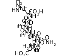 CC(C)C[C@H](NC(=O)[C@@H](N)CCC(=O)O)C(=O)N[C@@H](CCC(N)=O)C(=O)NCC(=O)N[C@H](C(=O)N[C@H](C(=O)N1CCC[C@H]1C(=O)N[C@@H](CCCNC(=N)N)C(=O)O)C(C)C)C(C)C